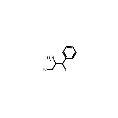 NC(CO)C(I)c1ccccc1